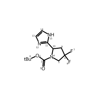 CC(C)(C)OC(=O)N1CC(F)(F)CC1c1ncc[nH]1